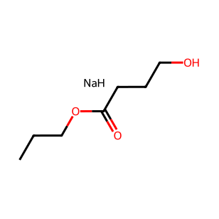 CCCOC(=O)CCCO.[NaH]